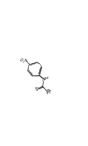 CC(C)C(=S)Nc1ccc([N+](=O)[O-])cc1